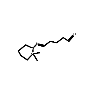 C[Si]1(C)CCCCN1N=CCCCC=O